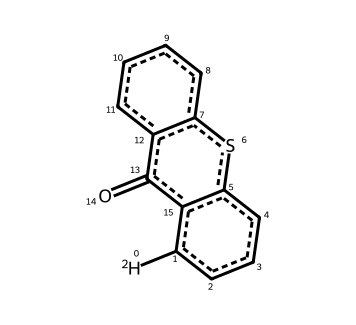 [2H]c1cccc2sc3ccccc3c(=O)c12